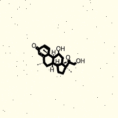 C[C@H]1C[C@@H]2[C@H]([C@@H](O)C[C@@]3(C)[C@H]2CC[C@]3(C)C(=O)CO)[C@@]2(C)C=CC(=O)C=C12